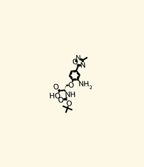 Cc1noc(-c2ccc(OC[C@H](NC(=O)OC(C)(C)C)C(=O)O)c(N)c2)n1